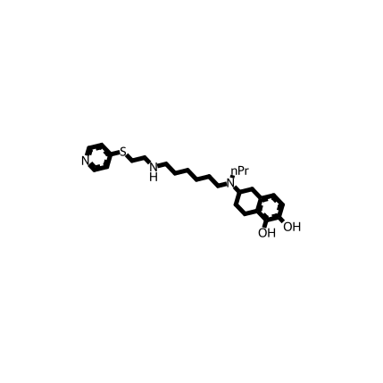 CCCN(CCCCCCNCCSc1ccncc1)C1CCc2c(ccc(O)c2O)C1